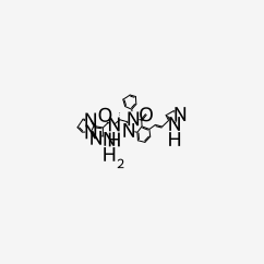 C[C@@H](NC(=O)c1c(N)nn2cccnc12)c1nc2cccc(/C=C/c3ccn[nH]3)c2c(=O)n1-c1ccccc1